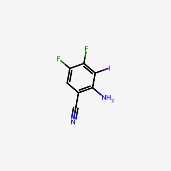 N#Cc1cc(F)c(F)c(I)c1N